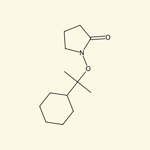 CC(C)(ON1CCCC1=O)C1CCCCC1